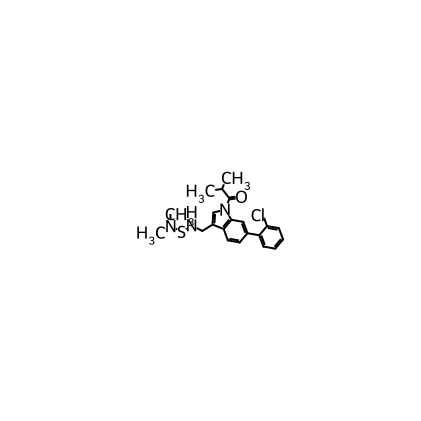 CC(C)C(=O)n1cc(CNSN(C)C)c2ccc(-c3ccccc3Cl)cc21